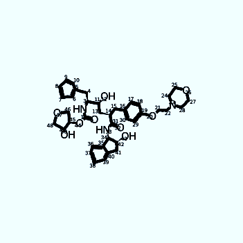 O=C(N[C@@H](Cc1ccccc1)[C@@H](O)C[C@@H](Cc1ccc(OCCN2CCOCC2)cc1)C(=O)N[C@H]1c2ccccc2C[C@H]1O)O[C@@H]1COC[C@H]1O